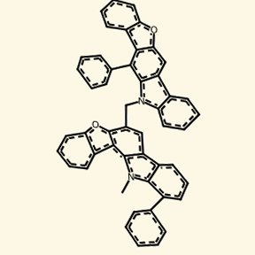 Cn1c2c(-c3ccccc3)cccc2c2cc(Cn3c4ccccc4c4cc5oc6ccccc6c5c(-c5ccccc5)c43)c3oc4ccccc4c3c21